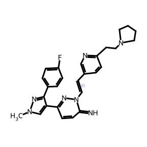 Cn1cc(-c2ccc(=N)n(/C=C/c3ccc(CCN4CCCC4)nc3)n2)c(-c2ccc(F)cc2)n1